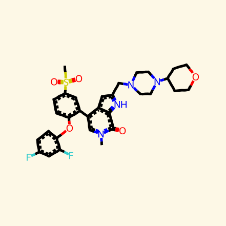 Cn1cc(-c2cc(S(C)(=O)=O)ccc2Oc2ccc(F)cc2F)c2cc(CN3CCN(C4CCOCC4)CC3)[nH]c2c1=O